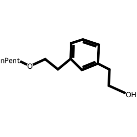 CCCCCOCCc1cccc(CCO)c1